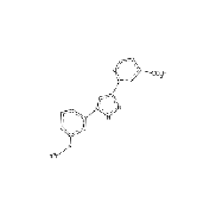 CCCSc1cccc(-n2cc(-c3cc(C(=O)O)ccn3)nn2)c1